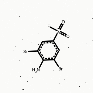 Nc1c(Br)cc(S(=O)(=O)F)cc1Br